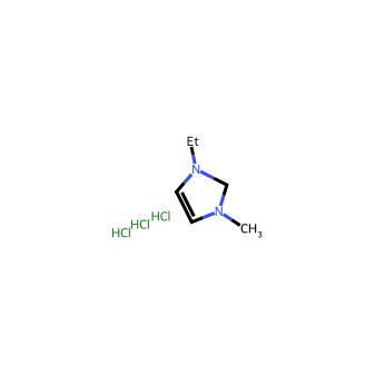 CCN1C=CN(C)C1.Cl.Cl.Cl